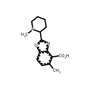 Cc1ccc2oc(C3CCCCN3C)nc2c1C(=O)O